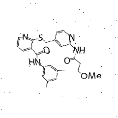 COCCC(=O)Nc1cc(CSc2ncccc2C(=O)Nc2cc(C)cc(C)c2)ccn1